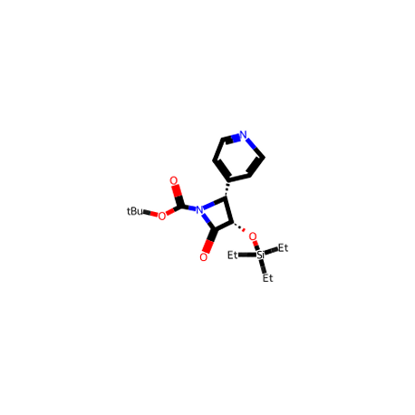 CC[Si](CC)(CC)O[C@@H]1C(=O)N(C(=O)OC(C)(C)C)[C@@H]1c1ccncc1